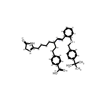 CC(C)(C)c1ccc(COc2ccccc2/C=C/C(CCCCC2=NCC(=O)N2)CCc2ccc(C(=O)O)cc2)cc1